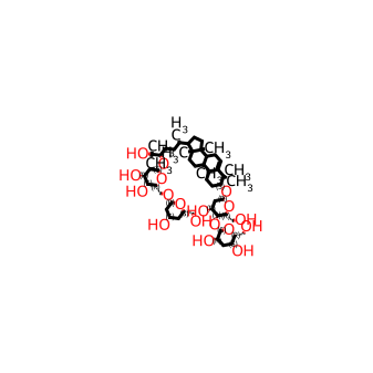 CC(CCC(O[C@H]1C[C@@H](O)[C@H](O)[C@@H](CO[C@H]2C[C@@H](O)C[C@@H](CO)O2)O1)C(C)(C)O)C1CCC2(C)C3CC=C4C(CC[C@H](O[C@H]5C[C@@H](O)[C@H](O[C@@H]6O[C@H](CO)[C@@H](O)C[C@H]6O)[C@@H](CO)O5)C4(C)C)C3(C)CCC12C